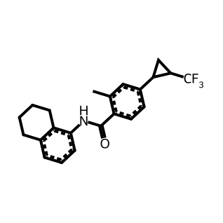 Cc1cc(C2CC2C(F)(F)F)ccc1C(=O)Nc1cccc2c1CCCC2